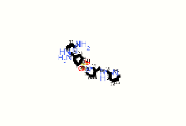 NC1=NC(N)(c2ccc(S(=O)(=O)N3CCCC(CNCc4ccccn4)C3)cc2)NC=C1